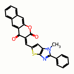 Cn1c(-c2ccccc2)nc2sc(/C=C3\C(=O)Oc4cc5ccccc5cc4C3=O)cc21